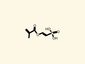 C=C(C)C(=O)OC=CP(=O)(O)O